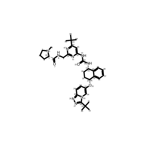 CN1CCC[C@H]1C(=O)NCc1nc(NC(=O)N[C@H]2CC[C@@H](Oc3ccc4nnc(C(C)(C)C)n4c3)c3ccccc32)cc(C(C)(C)C)n1